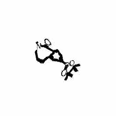 CN1CCCc2cc(B3OC(C)(C)C(C)(C)O3)ccc2C1=O